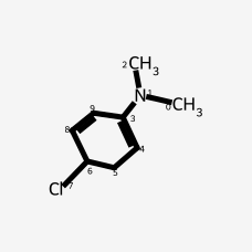 CN(C)C1=CCC(Cl)C=C1